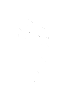 COc1cc(N2CCC(N3CCN(C)CC3)CC2)ccc1Nc1ncc(C#N)c(Nc2cccc3c2N(S(C)(=O)=O)CC3)n1